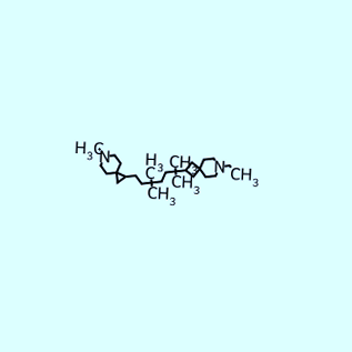 CCN1CCC2(CC1)CC(C(C)(C)CCC(C)(C)CCC1CC13CCN(C)CC3)C2